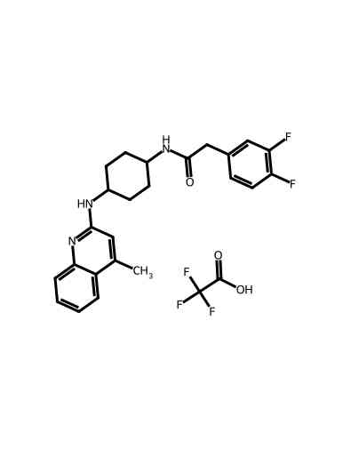 Cc1cc(NC2CCC(NC(=O)Cc3ccc(F)c(F)c3)CC2)nc2ccccc12.O=C(O)C(F)(F)F